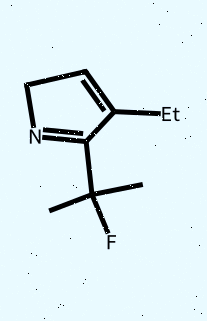 CCC1=CCN=C1C(C)(C)F